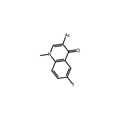 CC(=O)c1cn(C)c2ccc(I)cc2c1=O